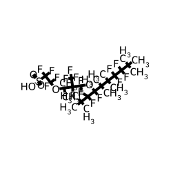 CC(C)(C)C(F)(F)C(F)(F)C(C)(C)C(C)(C)C(F)(OC(F)(F)C(F)(C(F)(F)F)C(C)(C)OC(F)(F)C(F)(F)S(=O)(=O)O)C(F)(F)C(C)(C)C